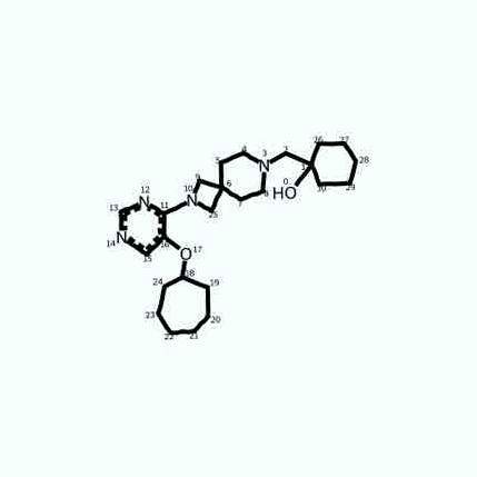 OC1(CN2CCC3(CC2)CN(c2ncncc2OC2CCCCCC2)C3)CCCCC1